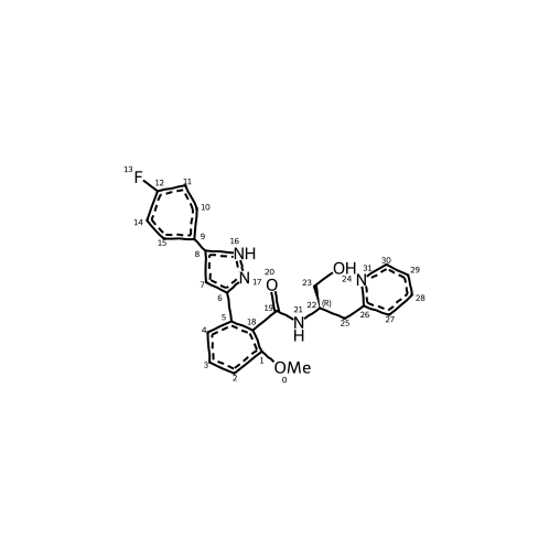 COc1cccc(-c2cc(-c3ccc(F)cc3)[nH]n2)c1C(=O)N[C@@H](CO)Cc1ccccn1